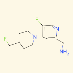 NCc1cc(N2CCC(CF)CC2)c(F)cn1